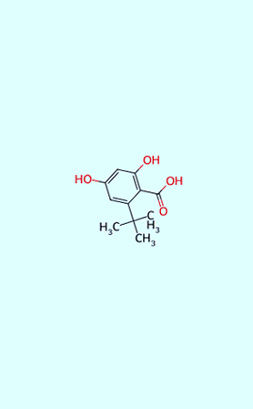 CC(C)(C)c1cc(O)cc(O)c1C(=O)O